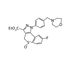 CCOC(=O)c1nn(-c2ccc(CN3CCOCC3)cc2)c2c1C[S+]([O-])c1ccc(F)cc1-2